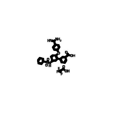 N=C(N)c1ccc(Oc2ccc(NS(=O)(=O)c3ccccc3)cc2-c2cccc(C(=O)O)c2)cc1.O=C(O)C(F)(F)F